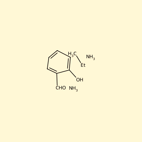 CCC.N.N.O=Cc1ccccc1O